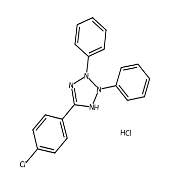 Cl.Clc1ccc(C2=NN(c3ccccc3)N(c3ccccc3)N2)cc1